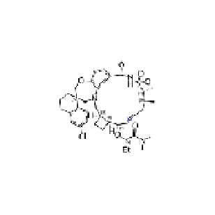 CC[C@H](O[C@H]1/C=C/C[C@H](C)[C@@H](C)S(=O)(=O)NC(=O)c2ccc3c(c2)N(C[C@@H]2CC[C@H]21)C[C@@]1(CCCc2cc(Cl)ccc21)CO3)C(=O)N(C)C